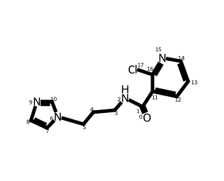 O=C(NCCCn1ccnc1)c1cccnc1Cl